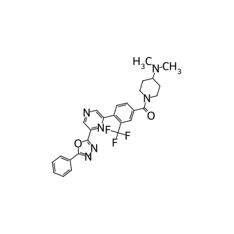 CN(C)C1CCN(C(=O)c2ccc(-c3cncc(-c4nnc(-c5ccccc5)o4)n3)c(C(F)(F)F)c2)CC1